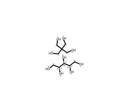 OCC(CO)(CO)CO.OC[C@@H](O)[C@H](O)[C@@H](O)CO